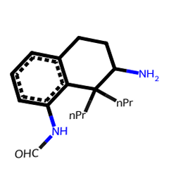 CCCC1(CCC)c2c(cccc2NC=O)CCC1N